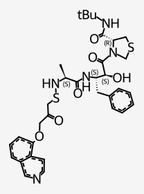 C[C@H](NSCC(=O)COc1cccc2cnccc12)C(=O)N[C@@H](Cc1ccccc1)[C@H](O)C(=O)N1CSC[C@H]1C(=O)NC(C)(C)C